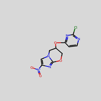 O=[N+]([O-])c1cn2c(n1)OCC(Oc1ccnc(Cl)n1)C2